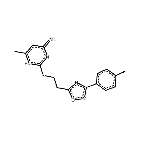 Cc1ccc(-c2noc(CCSc3nc(=N)cc(C)[nH]3)n2)cc1